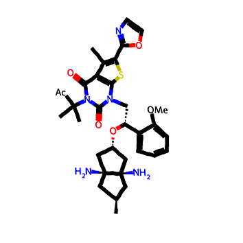 COc1ccccc1[C@@H](Cn1c(=O)n(C(C)(C)C(C)=O)c(=O)c2c(C)c(-c3ncco3)sc21)O[C@@H]1C[C@]2(N)C[C@@H](C)C[C@]2(N)C1